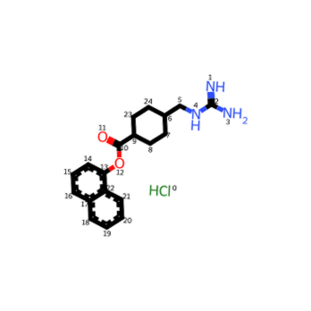 Cl.N=C(N)NCC1CCC(C(=O)Oc2cccc3ccccc23)CC1